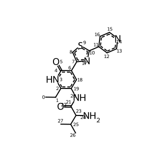 CCc1[nH]c(=O)c(-c2csc(-c3ccncc3)n2)cc1NC(=O)C(N)C(C)C